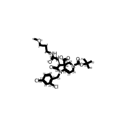 COCCCNC(=O)C[C@@H]1C(=O)N(Cc2ccc(Cl)cc2Cl)C2=CCN(C(=O)OC(C)(C)C)CC21C(=O)O